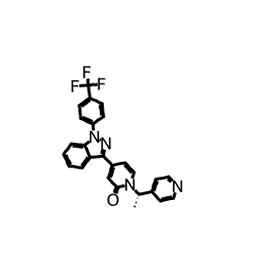 C[C@@H](c1ccncc1)n1ccc(-c2nn(-c3ccc(C(F)(F)F)cc3)c3ccccc23)cc1=O